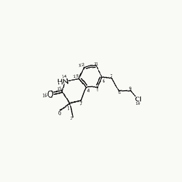 CC1(C)Cc2cc(CCCCl)ccc2NC1=O